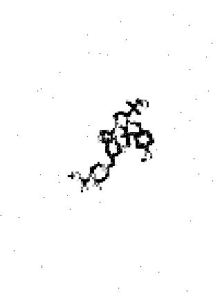 COc1ccc(CN2C(C(C)(C)C=O)CCN(c3cnc4cc(CN5CCN(C(=O)O)[C@@H](C)C5)ccn34)C2C(C)(C)C=O)cc1